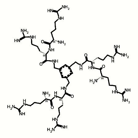 N=C(N)NCCC[C@H](NC(=O)[C@@H](N)CCCNC(=N)N)C(=O)NCc1cc(CNC(=O)[C@H](CCCNC(=N)N)NC(=O)[C@@H](N)CCCNC(=N)N)cc(CNC(=O)[C@H](CCCNC(=N)N)NC(=O)[C@@H](N)CCCNC(=N)N)c1